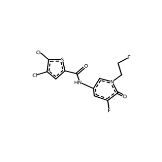 O=C(Nc1cc(F)c(=O)n(CCF)c1)c1cc(Cl)c(Cl)s1